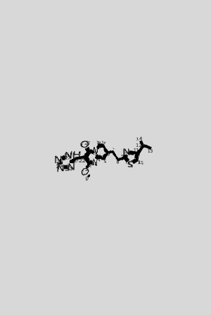 COc1nc2cc(CCc3nc(C(C)C)cs3)ccn2c(=O)c1-c1nnn[nH]1